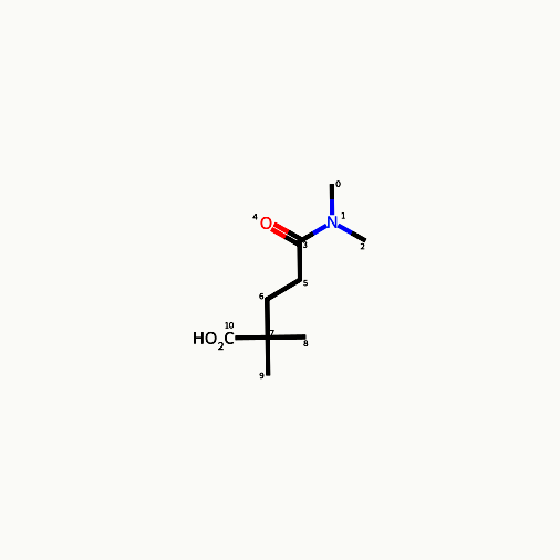 CN(C)C(=O)CCC(C)(C)C(=O)O